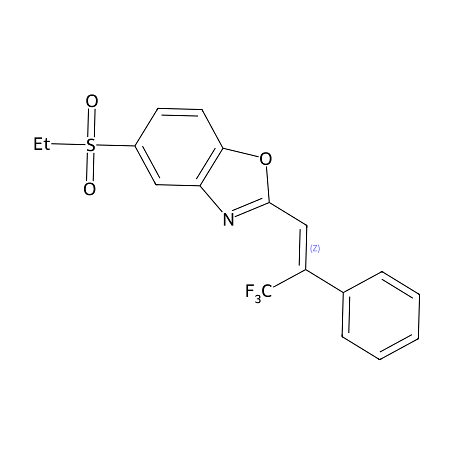 CCS(=O)(=O)c1ccc2oc(/C=C(/c3ccccc3)C(F)(F)F)nc2c1